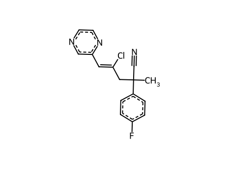 CC(C#N)(CC(Cl)=Cc1cnccn1)c1ccc(F)cc1